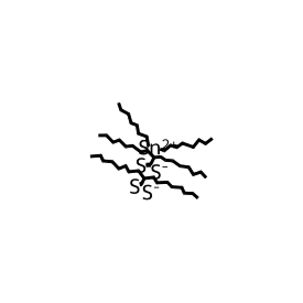 CCCCCCCCC(CCCCCCCC)C(=S)[S-].CCCCCCCCC(CCCCCCCC)C(=S)[S-].CCCCCCC[CH2][Sn+2][CH2]CCCCCCC